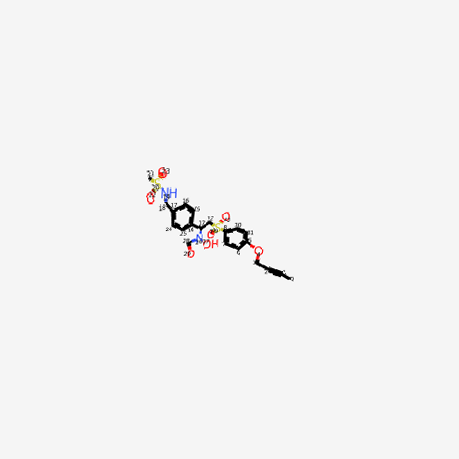 CC#CCOc1ccc(S(=O)(=O)CC(c2ccc(CNS(C)(=O)=O)cc2)N(O)C=O)cc1